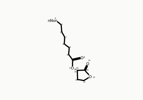 CCCCCCCCCCCCCCCC(=O)O[C@H]1CCOC1=O